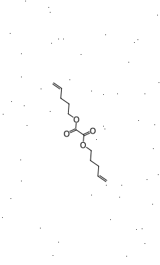 C=CCCCOC(=O)C(=O)OCCCC=C